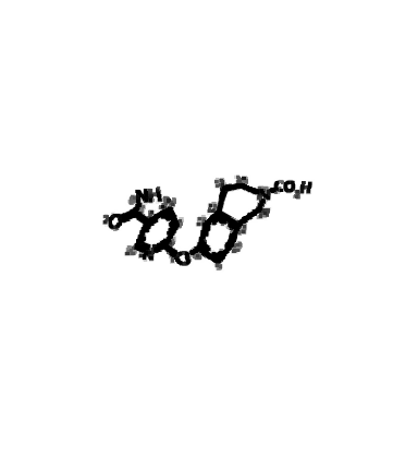 NC(=O)c1ccc(Oc2ccc3c(c2)CCN(C(=O)O)C3)nc1